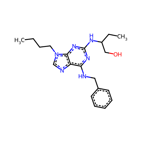 CCCCn1cnc2c(NCc3ccccc3)nc(NC(CC)CO)nc21